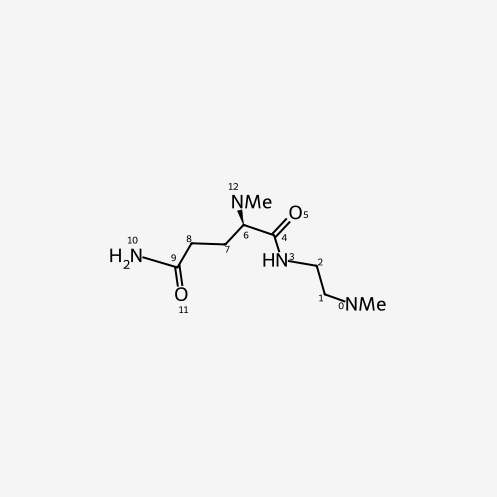 CNCCNC(=O)[C@@H](CCC(N)=O)NC